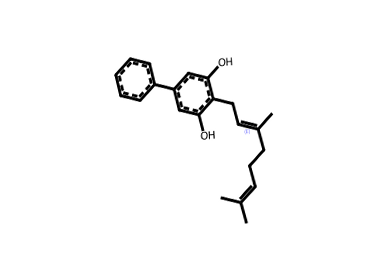 CC(C)=CCC/C(C)=C/Cc1c(O)cc(-c2ccccc2)cc1O